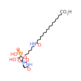 O=C(O)CCCCCCCCCCCCCCCCC(=O)NCCCCCCOC1C(O[PH](=O)O)[C@@H](CO)O[C@H]1n1ccc(=O)[nH]c1=O